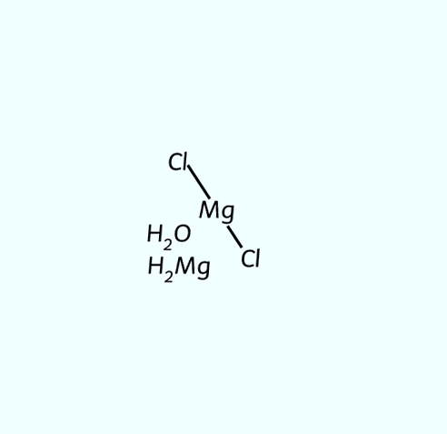 O.[Cl][Mg][Cl].[MgH2]